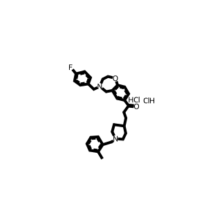 Cc1ccccc1CN1CCC(CCC(=O)c2ccc3c(c2)CN(Cc2ccc(F)cc2)CCO3)CC1.Cl.Cl